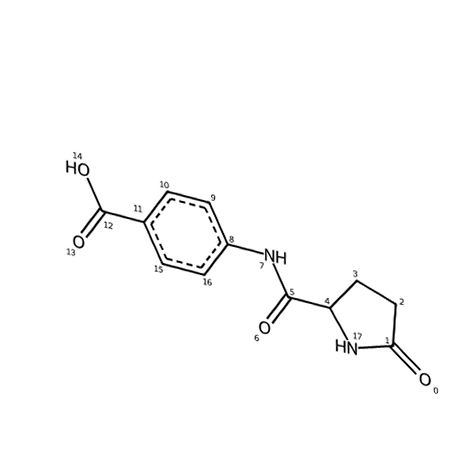 O=C1CCC(C(=O)Nc2ccc(C(=O)O)cc2)N1